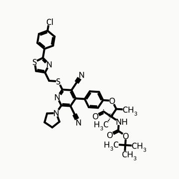 CC(Oc1ccc(-c2c(C#N)c(SCc3csc(-c4ccc(Cl)cc4)n3)nc(N3CCCC3)c2C#N)cc1)[C@](C)([C]=O)NC(=O)OC(C)(C)C